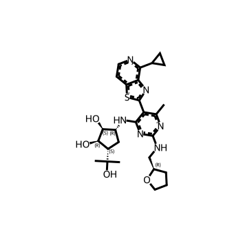 Cc1nc(NC[C@H]2CCCO2)nc(N[C@@H]2C[C@H](C(C)(C)O)[C@@H](O)[C@H]2O)c1-c1nc2c(C3CC3)nccc2s1